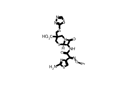 CC(C)ON=C(C(=O)NC1C(=O)N2CC(CSc3nncs3)(C(=O)O)CS[C@H]12)c1csc(N)n1